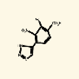 CC(=O)c1c(C(=O)O)ccc(-c2cnn[nH]2)c1[N+](=O)[O-]